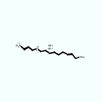 CCCCCCCCCCCCCCCCCCNCCCN.F.F